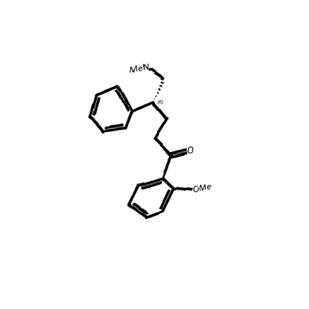 CNC[C@H](CCC(=O)c1ccccc1OC)c1ccccc1